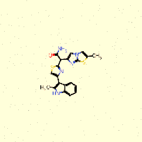 Cc1cn2cc(C(C(N)=O)c3nc(-c4c(C)[nH]c5ccccc45)cs3)nc2s1